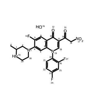 CC1CN(c2cc3c(cc2F)c(=O)c(C(=O)C[N+](=O)[O-])cn3-c2ccc(F)cc2F)CCN1.Cl